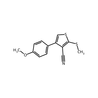 COc1ccc(-c2csc(SC)c2C#N)cc1